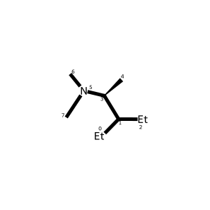 CCC(CC)[C@H](C)N(C)C